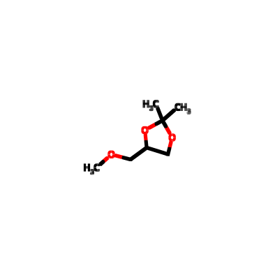 COCC1COC(C)(C)O1